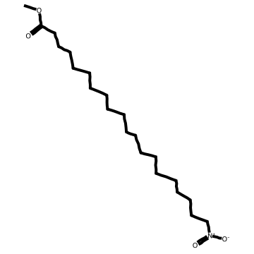 COC(=O)CCCCCCCCCCCCCCCCCCC[N+](=O)[O-]